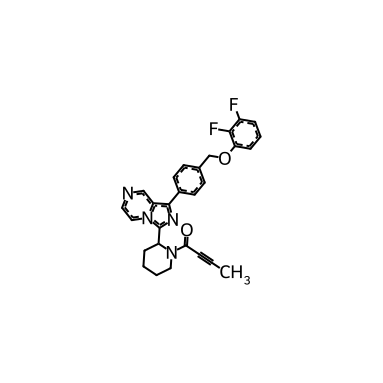 CC#CC(=O)N1CCCCC1c1nc(-c2ccc(COc3cccc(F)c3F)cc2)c2cnccn12